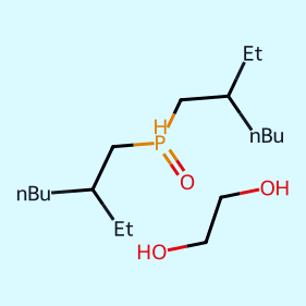 CCCCC(CC)C[PH](=O)CC(CC)CCCC.OCCO